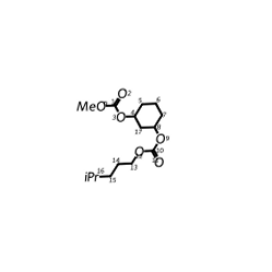 COC(=O)OC1CCCC(OC(=O)OCCCC(C)C)C1